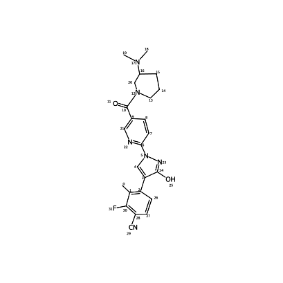 Cc1c(-c2cn(-c3ccc(C(=O)N4CCCC(N(C)C)C4)cn3)nc2O)ccc(C#N)c1F